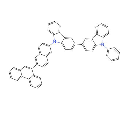 c1ccc(-n2c3ccccc3c3cc(-c4ccc5c(c4)c4ccccc4n5-c4ccc5cc(-c6cc7ccccc7c7ccccc67)ccc5c4)ccc32)cc1